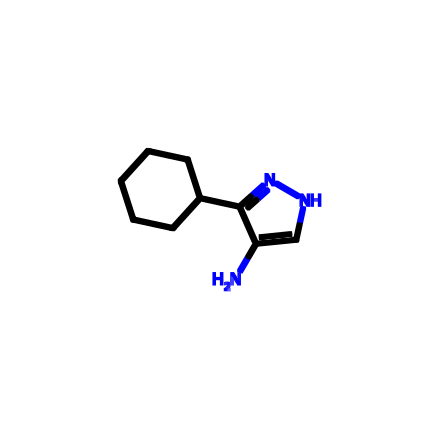 Nc1c[nH]nc1C1CCCCC1